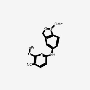 CCCOc1nc(Nc2ccc3c(c2)COB3OC)ccc1C#N